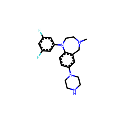 CN1CCN(c2cc(F)cc(F)c2)c2ccc(N3CCNCC3)cc2C1